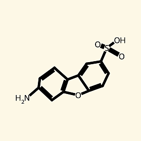 Nc1ccc2c(c1)oc1ccc(S(=O)(=O)O)cc12